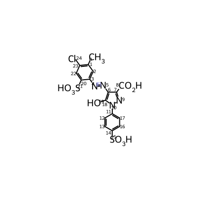 Cc1cc(/N=N/c2c(C(=O)O)nn(-c3ccc(S(=O)(=O)O)cc3)c2O)c(S(=O)(=O)O)cc1Cl